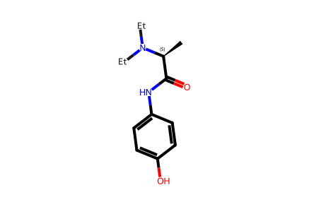 CCN(CC)[C@@H](C)C(=O)Nc1ccc(O)cc1